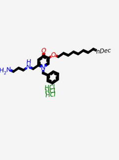 CCCCCCCCCCCCCCCCCCOc1cn(Cc2ccccc2)c(CNCCCN)cc1=O.Cl.Cl.Cl